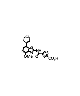 COc1ncc(C2=CCOCC2)c2sc(NC(=O)c3csc(C(=O)O)n3)nc12